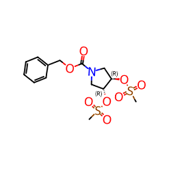 CS(=O)(=O)O[C@@H]1CN(C(=O)OCc2ccccc2)C[C@H]1OS(C)(=O)=O